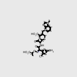 C[C@H](O/N=C(\C(=O)N[C@@H]1C(=O)N2C(C(=O)O)=C(C[n+]3cccc4c3ncn4C)CSC12)c1nc(N)sc1Cl)C(=O)O